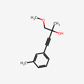 COCC(C)(O)C#Cc1cccc(C)c1